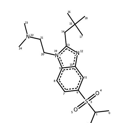 CC(C)S(=O)(=O)c1ccc2c(c1)nc(CC(C)(C)C)n2CCN(C)C